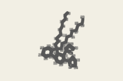 CCCCCCCCCCC1(CCCCCCCCCC)c2ccccc2-c2ccc(-c3cccs3)c(-c3cccs3)c21